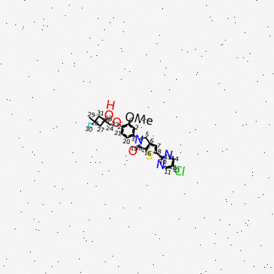 COc1cc(N2Cc3cc(-c4ncc(Cl)cn4)sc3C2=O)ccc1OCC1(O)CC(C)(F)C1